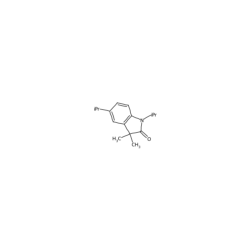 CC(C)c1ccc2c(c1)C(C)(C)C(=O)N2C(C)C